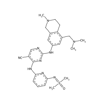 CN(C)Cc1cc(Nc2ncc(C#N)c(Nc3cccc(N=S(C)(C)=O)n3)n2)cc2c1CCN(C)C2